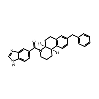 O=C(c1ccc2[nH]cnc2c1)N1CCC[C@@H]2c3ccc(Cc4ccccc4)cc3CC[C@@H]21